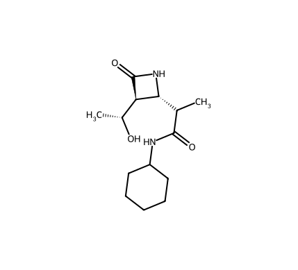 CC(C(=O)NC1CCCCC1)[C@H]1NC(=O)[C@@H]1[C@@H](C)O